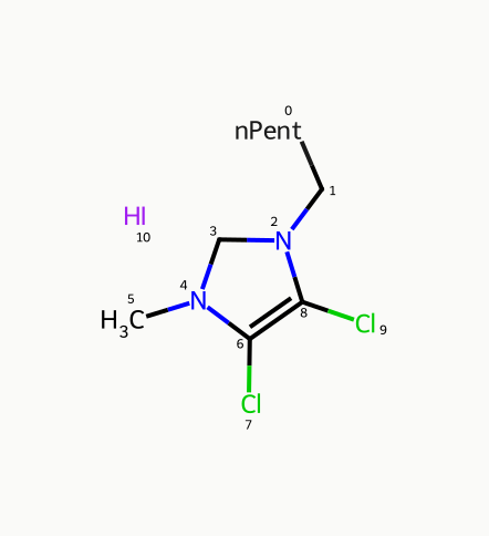 CCCCCCN1CN(C)C(Cl)=C1Cl.I